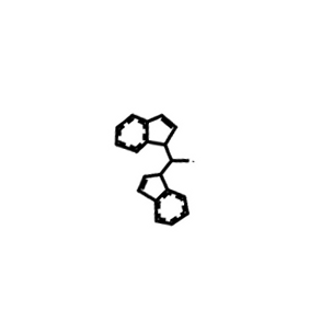 [CH2]C(C1C=Cc2ccccc21)C1C=Cc2ccccc21